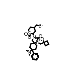 CN(C)C1(c2ccccc2)CCC2(CC1)CN(C1CC(CBr)CCS1(=O)=O)C(=O)N2CC1(O)CCC1